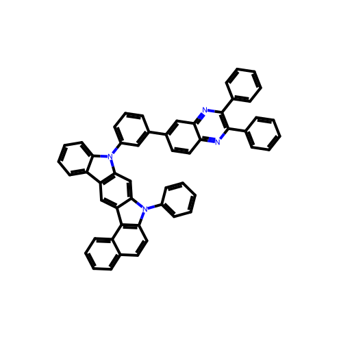 c1ccc(-c2nc3ccc(-c4cccc(-n5c6ccccc6c6cc7c8c9ccccc9ccc8n(-c8ccccc8)c7cc65)c4)cc3nc2-c2ccccc2)cc1